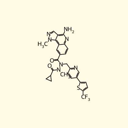 CN(C(=O)C1CC1)N(Cc1ccc(-c2ccc(C(F)(F)F)s2)cn1)C(=O)c1ccc2nc(N)c3cnn(C)c3c2c1